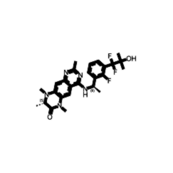 Cc1nc(N[C@H](C)c2cccc(C(F)(F)C(C)(C)O)c2F)c2cc3c(cc2n1)N(C)[C@@H](C)C(=O)N3C